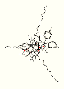 CCCCCCCCCCCC(CC)C(OP(OC(c1ccc(C)cc1C(C)(C)C)(c1ccc(C)cc1C(C)(C)C)C(CC)CCCCCCCCCCC)OC(c1ccc(C)cc1C(C)(C)C)(c1ccc(C)cc1C(C)(C)C)C(CC)CCCCCCCCCCC)(c1ccc(C)cc1C(C)(C)C)c1ccc(C)cc1C(C)(C)C